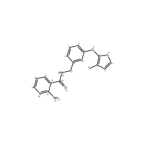 Cc1ccsc1Oc1cccc(CNC(=O)c2cccnc2N)c1